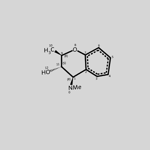 CN[C@@H]1c2ccccc2O[C@H](C)[C@H]1O